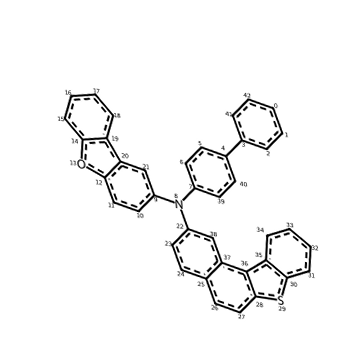 c1ccc(-c2ccc(N(c3ccc4oc5ccccc5c4c3)c3ccc4ccc5sc6ccccc6c5c4c3)cc2)cc1